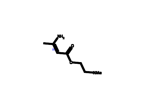 CNCCOC(=O)/C=C(/C)N